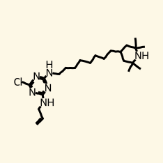 C=CCNc1nc(Cl)nc(NCCCCCCCCC2CC(C)(C)NC(C)(C)C2)n1